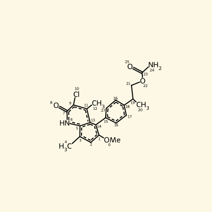 COc1cc(C)c2[nH]c(=O)c(Cl)c(C)c2c1-c1ccc(C(C)COC(N)=O)cc1